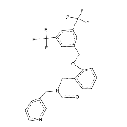 O=CN(Cc1cccnc1)Cc1ccccc1OCc1cc(C(F)(F)F)cc(C(F)(F)F)c1